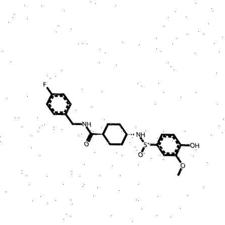 COc1cc([S+]([O-])N[C@H]2CC[C@H](C(=O)NCc3ccc(F)cc3)CC2)ccc1O